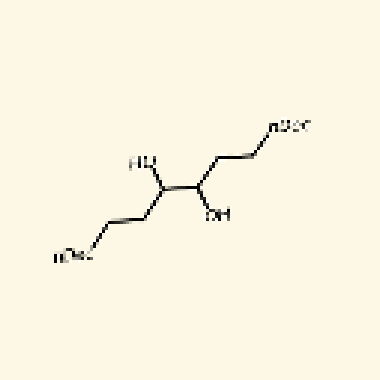 CCCCCCCCCCCCC(O)C(O)CCCCCCCCCCCC